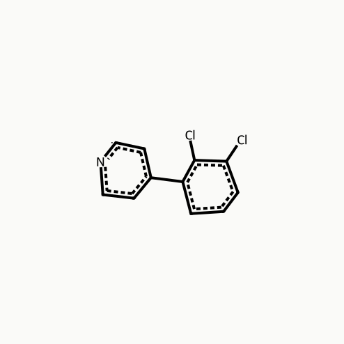 Clc1cccc(-c2c[c]ncc2)c1Cl